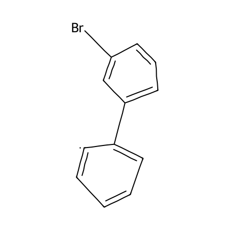 Brc1cccc(-c2[c]cccc2)c1